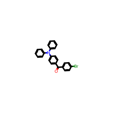 O=C(c1ccc(Br)cc1)c1ccc(N(c2ccccc2)c2ccccc2)cc1